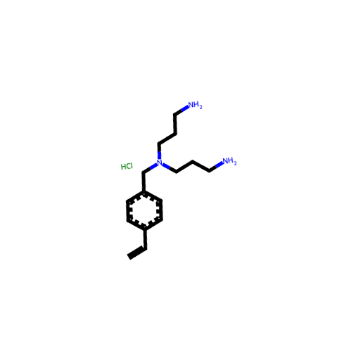 C=Cc1ccc(CN(CCCN)CCCN)cc1.Cl